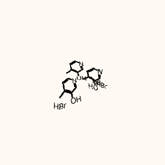 Br.Br.Br.Cc1ccncc1O.Cc1ccncc1O.Cc1ccncc1O